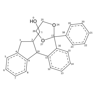 OCC1Cc2ccccc2C1c1ccccc1C1(c2ccccc2)OCCO1